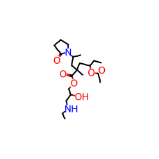 CCNCC(O)COC(=O)C(C)(CC(CC)OC(C)=O)CC(C)N1CCCC1=O